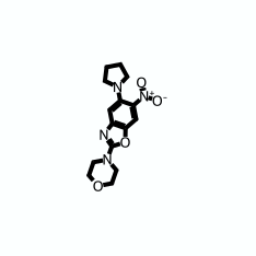 O=[N+]([O-])c1cc2oc(N3CCOCC3)nc2cc1N1CCCC1